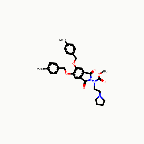 COc1ccc(COc2cc3c(cc2OCc2ccc(OC)cc2)C(=O)N(N(CCN2CCCC2)C(=O)OC(C)(C)C)C3=O)cc1